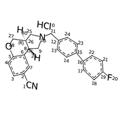 Cl.N#Cc1ccc2c(c1)[C@H]1CN(Cc3ccc(-c4ccc(F)cc4)cc3)C[C@@H]1CO2